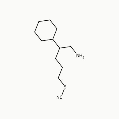 N#CSCCCC(CN)C1CCCCC1